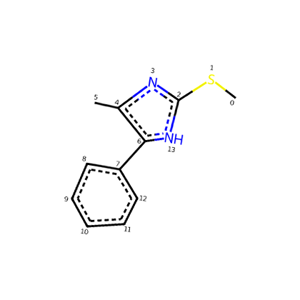 CSc1nc(C)c(-c2ccccc2)[nH]1